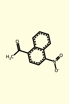 CC(=O)c1ccc([N+](=O)[O-])c2ccccc12